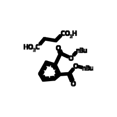 CCCCOC(=O)c1ccccc1C(=O)OCCCC.O=C(O)CCC(=O)O